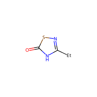 CCc1nsc(=O)[nH]1